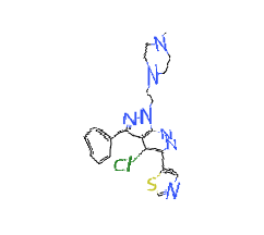 CN1CCN(CCn2nc(-c3ccccc3)c3c(Cl)c(-c4cncs4)nnc32)CC1